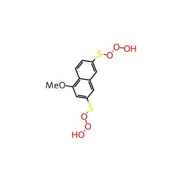 COc1cc(SOOO)cc2cc(SOOO)ccc12